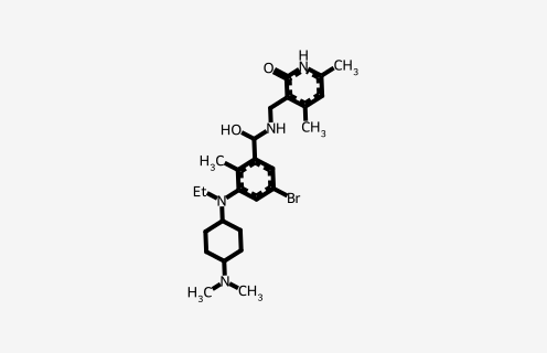 CCN(c1cc(Br)cc(C(O)NCc2c(C)cc(C)[nH]c2=O)c1C)C1CCC(N(C)C)CC1